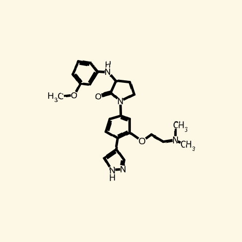 COc1cccc(NC2CCN(c3ccc(-c4cn[nH]c4)c(OCCN(C)C)c3)C2=O)c1